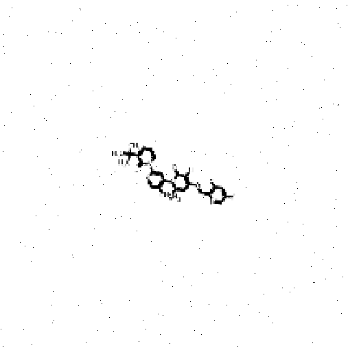 Cc1cnc(-n2cccc(C(C)(C)C)c2=O)cc1-n1c(C)cc(OCc2ncc(F)cc2F)c(Cl)c1=O